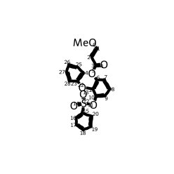 COC=CC(=O)Oc1cccc(OS(=O)(=O)c2ccccc2)c1Oc1ccccc1